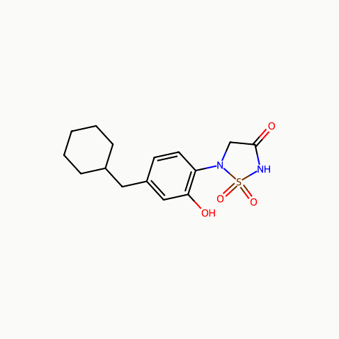 O=C1CN(c2ccc(CC3CCCCC3)cc2O)S(=O)(=O)N1